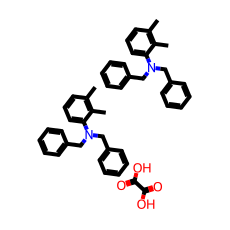 Cc1cccc(N(Cc2ccccc2)Cc2ccccc2)c1C.Cc1cccc(N(Cc2ccccc2)Cc2ccccc2)c1C.O=C(O)C(=O)O